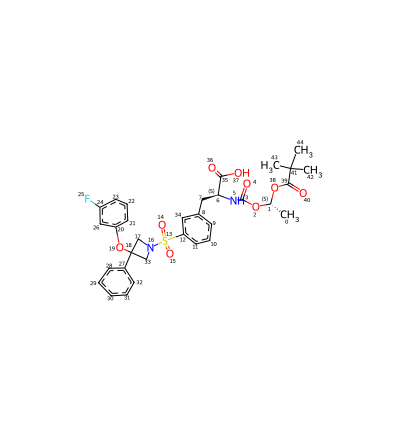 C[C@H](OC(=O)N[C@@H](Cc1cccc(S(=O)(=O)N2CC(Oc3cccc(F)c3)(c3ccccc3)C2)c1)C(=O)O)OC(=O)C(C)(C)C